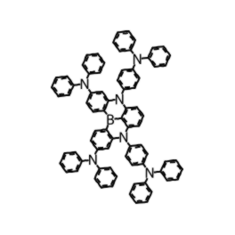 c1ccc(N(c2ccccc2)c2ccc(N3c4cc(N(c5ccccc5)c5ccccc5)ccc4B4c5ccc(N(c6ccccc6)c6ccccc6)cc5N(c5ccc(N(c6ccccc6)c6ccccc6)cc5)c5cccc3c54)cc2)cc1